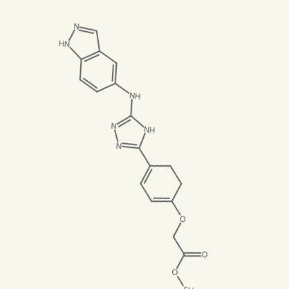 COC(=O)COC1=CC=C(c2nnc(Nc3ccc4[nH]ncc4c3)[nH]2)CC1